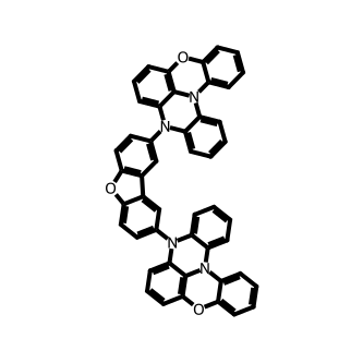 c1ccc2c(c1)Oc1cccc3c1N2c1ccccc1N3c1ccc2oc3ccc(N4c5ccccc5N5c6ccccc6Oc6cccc4c65)cc3c2c1